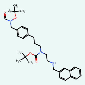 CC(C)(C)OC(=O)N(CCCc1ccc(CN(C=O)OC(C)(C)C)cc1)CCNCc1ccc2ccccc2c1